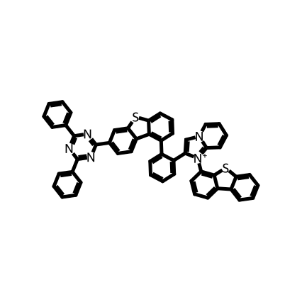 c1ccc(-c2nc(-c3ccccc3)nc(-c3ccc4c(c3)sc3cccc(-c5ccccc5-c5cn6ccccc6[n+]5-c5cccc6c5sc5ccccc56)c34)n2)cc1